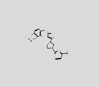 CC(C)c1ccnc(C2CCC(c3cc(Nc4ccc5c(c4F)CS(=O)(=O)N5)n[nH]3)C2)n1